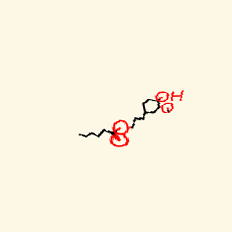 CCCCCC(=O)OCCCC1CCC(O)C(OC)C1